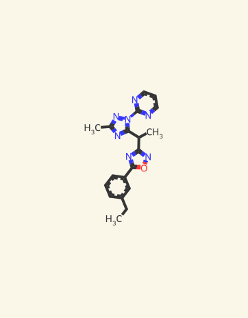 CCc1cccc(-c2nc(C(C)c3nc(C)nn3-c3ncccn3)no2)c1